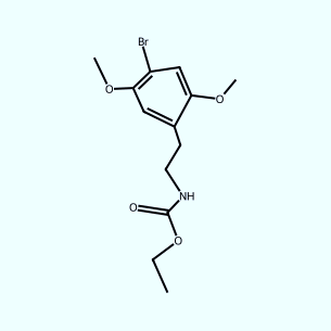 CCOC(=O)NCCc1cc(OC)c(Br)cc1OC